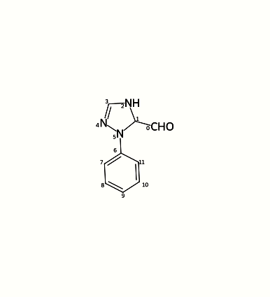 O=CC1NC=NN1c1ccccc1